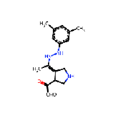 CC(NNc1cc(C)cc(C)c1)=C1CNCC1C(=O)C=O